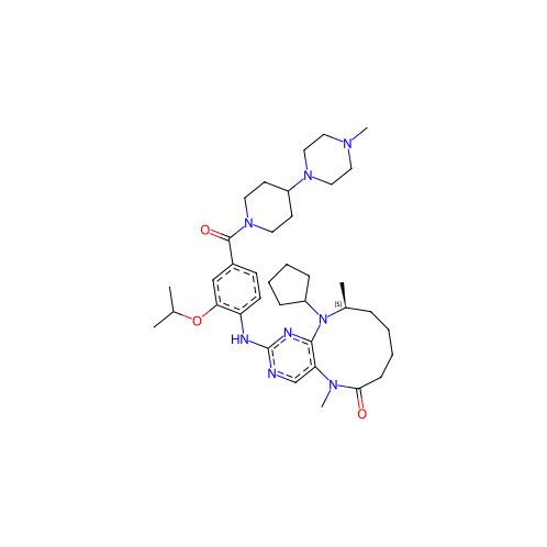 CC(C)Oc1cc(C(=O)N2CCC(N3CCN(C)CC3)CC2)ccc1Nc1ncc2c(n1)N(C1CCCC1)[C@@H](C)CCCCC(=O)N2C